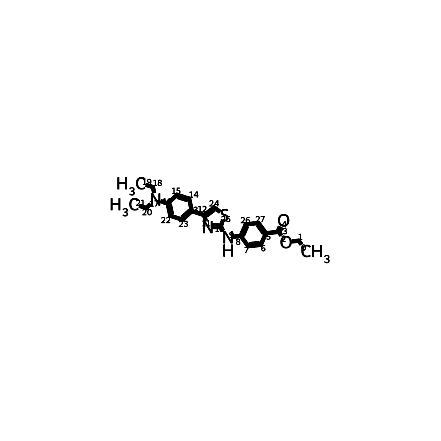 CCOC(=O)c1ccc(Nc2nc(-c3ccc(N(CC)CC)cc3)cs2)cc1